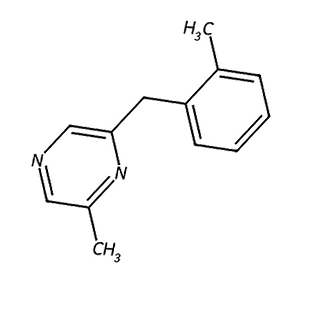 Cc1cncc(Cc2ccccc2C)n1